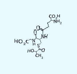 CC(O)C(=O)SCC(NC(=O)CCC(N)C(=O)O)C(=O)NCC(=O)O